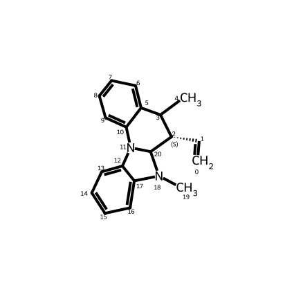 C=C[C@H]1C(C)c2ccccc2N2c3ccccc3N(C)C12